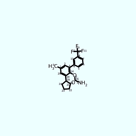 Cc1cc(-c2cccc(C(F)(F)F)c2)c(OC(N)=O)c(C2CCCC2)c1